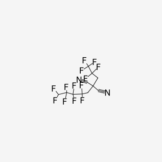 N#CC(C#N)(CC(F)(F)C(F)(F)F)CC(F)(F)C(F)(F)C(F)(F)C(F)F